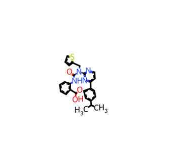 CC(C)c1ccc(-c2ccnc(N(Cc3cccs3)C(=O)Nc3ccccc3C(=O)O)n2)cc1